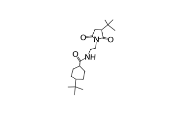 CC(C)(C)C1CCC(C(=O)NCCN2C(=O)CC(C(C)(C)C)C2=O)CC1